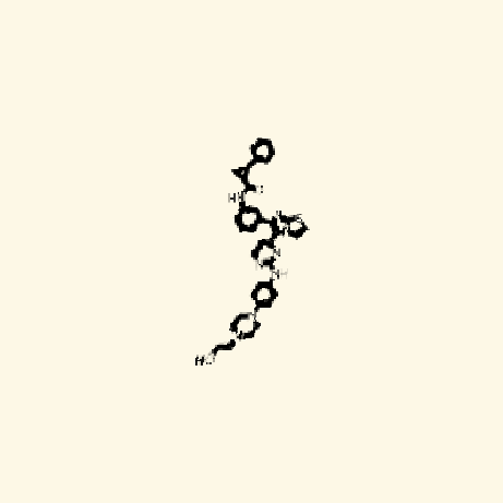 O=C(Nc1cccc(-c2nc3sccn3c2-c2ccnc(Nc3ccc(N4CCN(CCO)CC4)cc3)n2)c1)C1CC1c1ccccc1